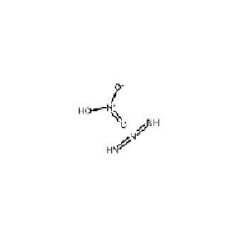 N=[N+]=N.O=[N+]([O-])O